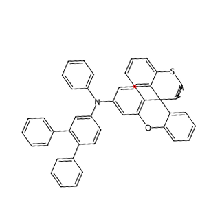 c1ccc(-c2ccc(N(c3ccccc3)c3ccc4c(c3)Oc3ccccc3C43c4ccccc4Sc4ccccc43)cc2-c2ccccc2)cc1